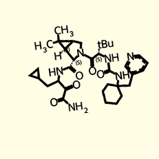 CC(C)(C)[C@H](NC(=O)NC1(Cc2cccnc2)CCCCC1)C(=O)N1CC2[C@@H]([C@H]1C(=O)NC(CC1CC1)C(=O)C(N)=O)C2(C)C